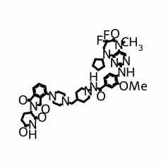 COc1cc(C(=O)NN2CCC(CN3CCN(c4cccc5c4C(=O)N(C4CCC(=O)NC4=O)C5=O)CC3)CC2)ccc1Nc1ncc2c(n1)N(C1CCCC1)CC(F)(F)C(=O)N2C